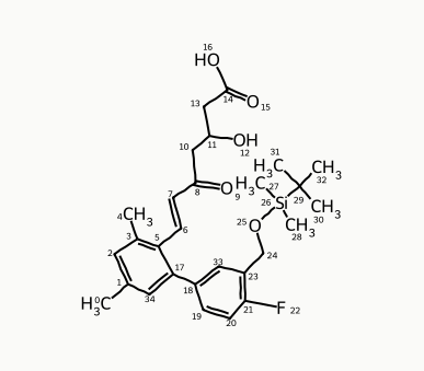 Cc1cc(C)c(C=CC(=O)CC(O)CC(=O)O)c(-c2ccc(F)c(CO[Si](C)(C)C(C)(C)C)c2)c1